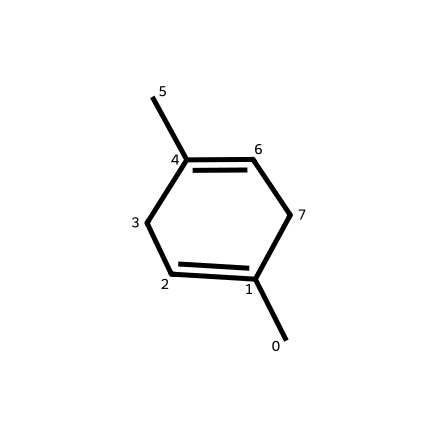 CC1=CCC(C)=CC1